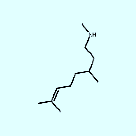 CNCCC(C)CCC=C(C)C